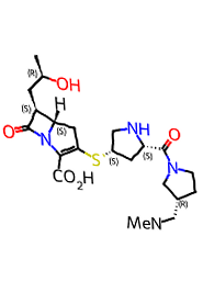 CNC[C@H]1CCN(C(=O)[C@@H]2C[C@H](SC3=C(C(=O)O)N4C(=O)[C@@H](C[C@@H](C)O)[C@@H]4C3)CN2)C1